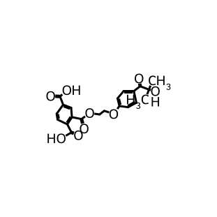 CC(C)(O)C(=O)c1ccc(OCCOC(=O)c2cc(C(=O)O)ccc2C(=O)O)cc1